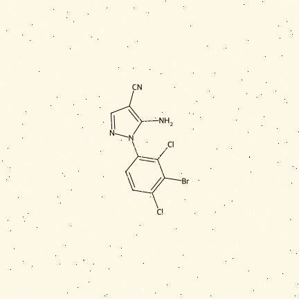 N#Cc1cnn(-c2ccc(Cl)c(Br)c2Cl)c1N